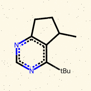 CC1CCc2ncnc(C(C)(C)C)c21